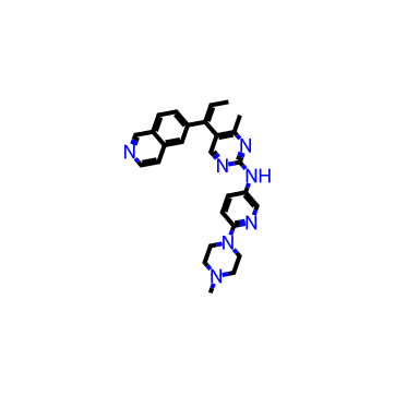 C/C=C(/c1ccc2cnccc2c1)c1cnc(Nc2ccc(N3CCN(C)CC3)nc2)nc1C